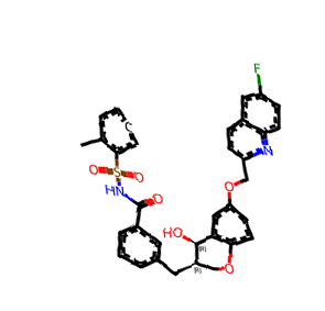 Cc1ccccc1S(=O)(=O)NC(=O)c1cccc(C[C@@H]2COc3ccc(OCc4ccc5cc(F)ccc5n4)cc3[C@@H]2O)c1